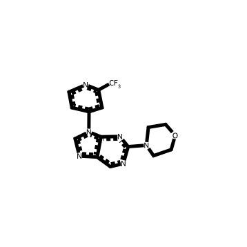 FC(F)(F)c1cc(-n2cnc3cnc(N4CCOCC4)nc32)ccn1